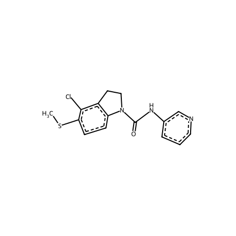 CSc1ccc2c(c1Cl)CCN2C(=O)Nc1cccnc1